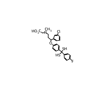 CN(CCC(Oc1ccc(C(S)(S)c2ccc(F)cc2)cc1)c1cccc(Cl)c1)CC(=O)O